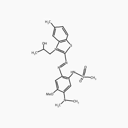 COc1cc(N=Nc2sc3ccc(C)cc3[n+]2CC(C)O)c(NS(C)(=O)=O)cc1N(C)C